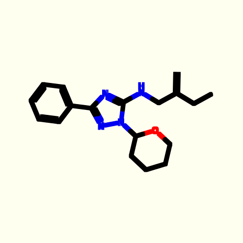 C=C(CC)CNc1nc(-c2ccccc2)nn1C1CCCCO1